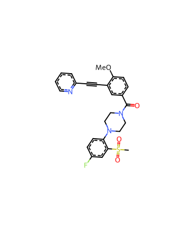 COc1ccc(C(=O)N2CCN(c3ccc(F)cc3S(C)(=O)=O)CC2)cc1C#Cc1ccccn1